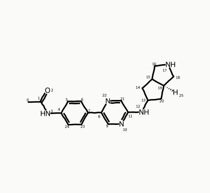 CC(=O)Nc1ccc(-c2cnc(NC3CC4CNC[C@H]4C3)cn2)cc1